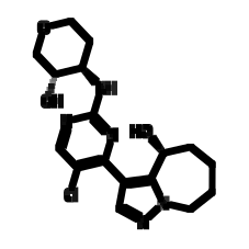 O[C@@H]1COCC[C@H]1Nc1ncc(Cl)c(-c2cnn3c2[C@@H](O)CCCC3)n1